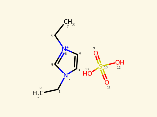 CCn1cc[n+](CC)c1.O=S(=O)(O)O